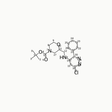 CC(C)(C)OC(=O)N1CCOC(CNc2cc(Cl)nnc2-c2ccccc2)C1